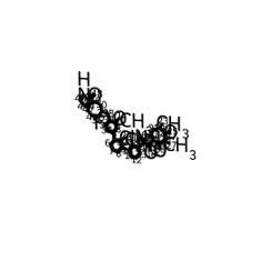 COc1cc(-c2cccc(-c3cccc(C(=N)C(=O)C4=CCC(C)C(=O)C(C)C4=O)c3C)c2Cl)cc(F)c1CC1CCCC2(CCNC2=O)CC1